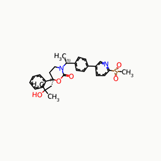 C[C@@H](c1ccc(-c2ccc(S(C)(=O)=O)nc2)cc1)N1CC[C@](CC(C)(C)O)(c2ccccc2)OC1=O